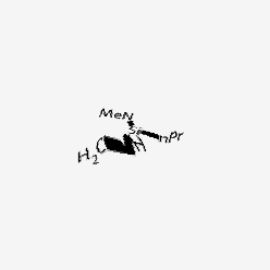 C=C[SiH](CCC)NC